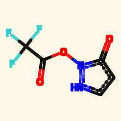 O=C(On1[nH]ccc1=O)C(F)(F)F